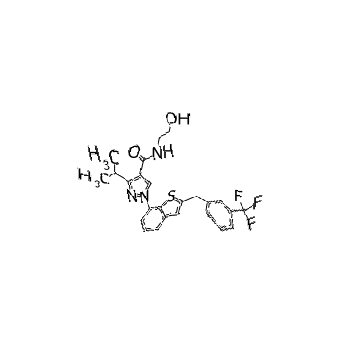 CC(C)c1nn(-c2cccc3cc(Cc4cccc(C(F)(F)F)c4)sc23)cc1C(=O)NCCO